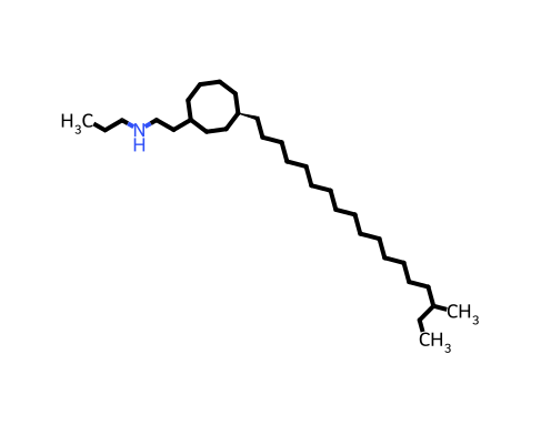 CCCNCCC1CCCC[C@@H](CCCCCCCCCCCCCCCC(C)CC)CC1